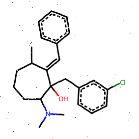 CC1CCCC(N(C)C)C(O)(Cc2cccc(Cl)c2)C1=Cc1ccccc1